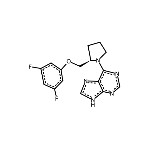 Fc1cc(F)cc(OC[C@H]2CCCN2c2ncnc3[nH]cnc23)c1